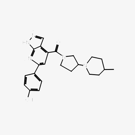 CC1CCN(C2CCN(C(=O)c3cc(-c4ccc(O)cc4)nc4[nH]ncc34)C2)CC1